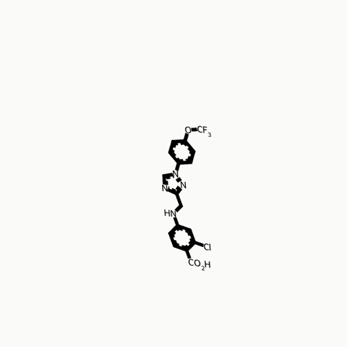 O=C(O)c1ccc(NCc2ncn(-c3ccc(OC(F)(F)F)cc3)n2)cc1Cl